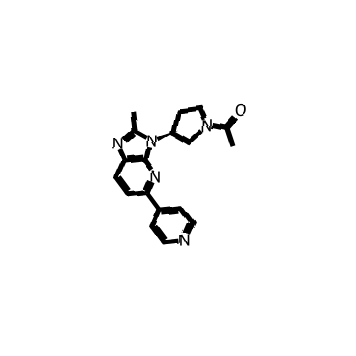 CC(=O)N1CC[C@H](n2c(C)nc3ccc(-c4ccncc4)nc32)C1